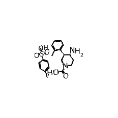 Cc1ccc(S(=O)(=O)O)cc1.Cc1ccccc1[C@@H]1CN(C(=O)O)CC[C@H]1N